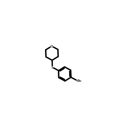 CC(C)(C)c1ccc(SC2CCOCC2)cc1